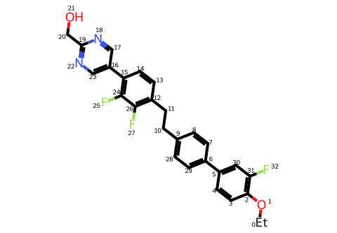 CCOc1ccc(-c2ccc(CCc3ccc(-c4cnc(CO)nc4)c(F)c3F)cc2)cc1F